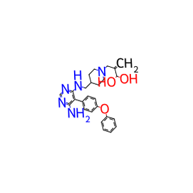 C=C(CN1CCC(CNc2ncnc(N)c2-c2ccc(Oc3ccccc3)cc2)CC1)C(O)O